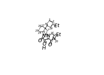 CCc1cccc(C2(Cc3nc(=O)c(O)c4n3CC(CC)N(C)C4=O)CCCCC2)c1